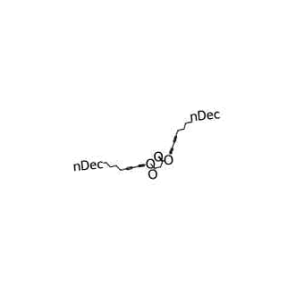 CCCCCCCCCCCCCCC#CC#COC(=O)CC(=O)OC#CC#CCCCCCCCCCCCCCC